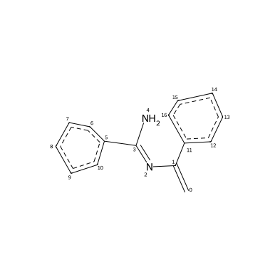 C=C(/N=C(\N)c1ccccc1)c1ccccc1